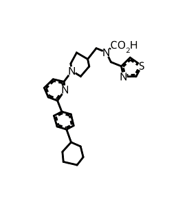 O=C(O)N(Cc1cscn1)CC1CCN(c2cccc(-c3ccc(C4CCCCC4)cc3)n2)CC1